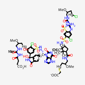 COC(CNC(=O)C1CCC(C)(C(=O)[O-])C1(C)C)[CH2][Hg][S]CC(=O)[O-].COC(CNC(=O)NC(=O)CCC(=O)O)[CH2][Hg][OH].COC(CNC(N)=O)[CH2][Hg][Cl].Cn1c(=O)c2[nH]cnc2n(C)c1=O.NS(=O)(=O)c1cc(C2(O)NC(=O)c3ccccc32)ccc1Cl.NS(=O)(=O)c1cc2c(cc1Cl)N=CNS2(=O)=O.[Na+].[Na+]